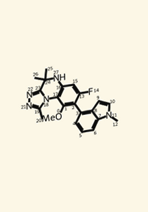 COc1c(-c2cccc3c2ccn3C)c(F)cc2c1-n1c(C)nnc1C(C)(C)N2